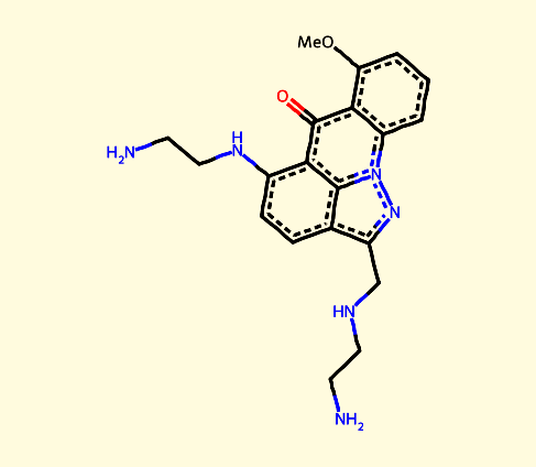 COc1cccc2c1c(=O)c1c(NCCN)ccc3c(CNCCN)nn2c31